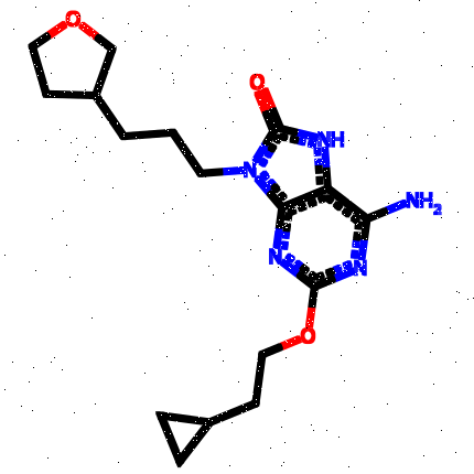 Nc1nc(OCCC2CC2)nc2c1[nH]c(=O)n2CCCC1CCOC1